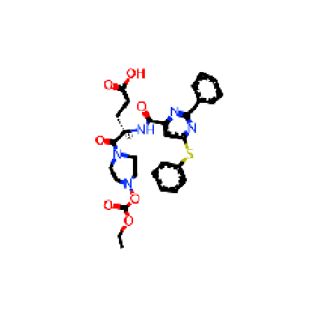 CCOC(=O)ON1CCN(C(=O)[C@H](CCC(=O)O)NC(=O)c2cc(Sc3ccccc3)nc(-c3ccccc3)n2)CC1